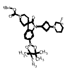 CC(C)(C)OC(=O)N1CCC2(CC1)C(=O)N(C1CC(N3CCC[C@@H](F)C3)C1)c1cc(B3OC(C)(C)C(C)(C)O3)ccc12